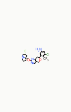 Nc1cc(Cl)c(C(F)(F)F)c(C2Cc3nc(OC[C@@]45CCCN4C[C@H](F)C5)ncc3CO2)c1